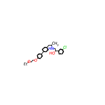 CCOCCOc1ccc(-c2ccc(CC(C)NCC(O)c3cccc(Cl)c3)cc2)cc1